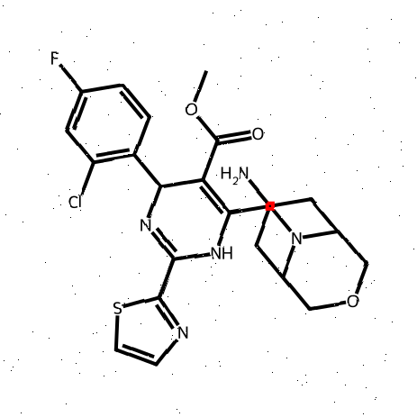 COC(=O)C1=C(CN2C3COCC2CC(N)C3)NC(c2nccs2)=NC1c1ccc(F)cc1Cl